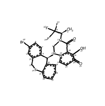 C[C@@H](N1CN([C@@H]2c3ccc(Br)cc3CSc3ccccc32)n2ccc(=O)c(O)c2C1=O)C(F)(F)F